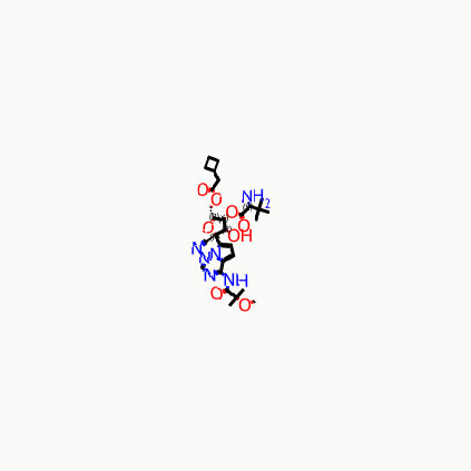 COC(C)(C)C(=O)Nc1ncnn2c([C@]3(C#N)O[C@H](COC(=O)CC4CCC4)[C@@H](OC(=O)[C@@H](N)C(C)(C)C)[C@H]3O)ccc12